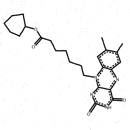 Cc1cc2nc3c(=O)[nH]c(=O)nc-3n(CCCCCCC(=O)OC3CCCCC3)c2cc1C